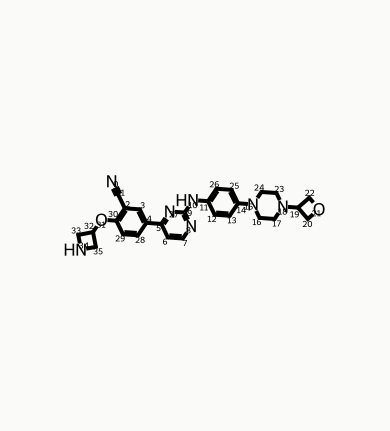 N#Cc1cc(-c2ccnc(Nc3ccc(N4CCN(C5COC5)CC4)cc3)n2)ccc1OC1CNC1